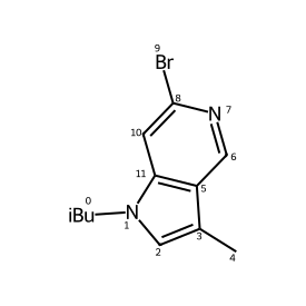 CCC(C)n1cc(C)c2cnc(Br)cc21